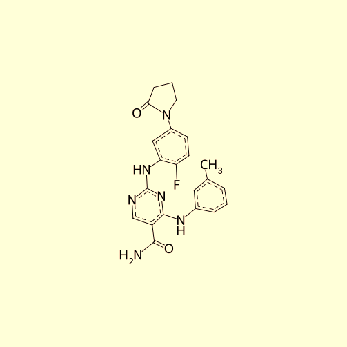 Cc1cccc(Nc2nc(Nc3cc(N4CCCC4=O)ccc3F)ncc2C(N)=O)c1